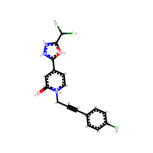 O=c1cc(-c2nnc(C(F)F)o2)ccn1CC#Cc1ccc(Cl)cc1